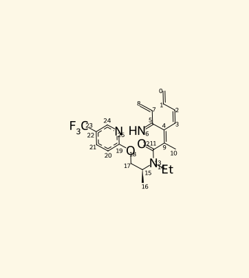 C=C/C=C\C(C(=N)C=C)=C(/C)C(=O)N(CC)[C@@H](C)COc1ccc(C(F)(F)F)cn1